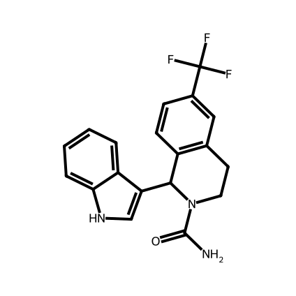 NC(=O)N1CCc2cc(C(F)(F)F)ccc2C1c1c[nH]c2ccccc12